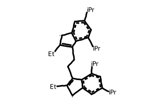 CCC1=C(CCC2=C(CC)[CH]c3cc(C(C)C)cc(C(C)C)c32)c2c(cc(C(C)C)cc2C(C)C)[CH]1